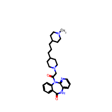 CN1CCC(CCCC2CCN(CC(=O)N3c4ccccc4C(=O)Nc4cccnc43)CC2)CC1